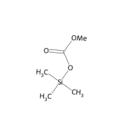 COC(=O)O[Si](C)(C)C